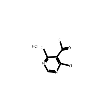 Cl.O=C(Cl)c1c(Cl)ncnc1Cl